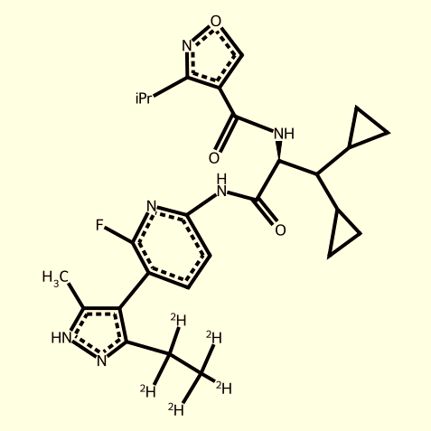 [2H]C([2H])([2H])C([2H])([2H])c1n[nH]c(C)c1-c1ccc(NC(=O)[C@@H](NC(=O)c2conc2C(C)C)C(C2CC2)C2CC2)nc1F